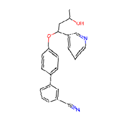 CC(O)CC(Oc1ccc(-c2cccc(C#N)c2)cc1)c1cccnc1